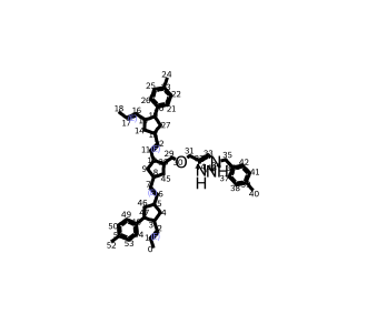 C/C=C/C1CC(/C=C/C2CC(/C=C/C3CC(/C=C/C)C(c4ccc(C)cc4)C3)C(COCC3=CN(Cc4ccc(C)cc4)NN3)C2)CC1c1ccc(C)cc1